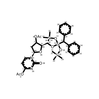 CC(=O)Oc1ccn([C@H]2CC(OC(C)=O)[C@@H](CO[Si](O[Si](C)(C)C)(O[Si](C)(C)C)C(c3ccccc3)c3ccccc3)O2)c(=O)n1